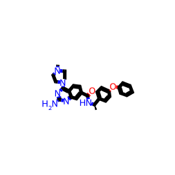 C[C@@H](NC(=O)c1ccc2c(N3CCN(C)CC3)nc(N)nc2c1)c1ccc(Oc2ccccc2)cc1